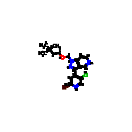 C[Si](C)(C)CCOCn1nc(-c2cc(Br)ncc2Cl)c2cnccc21